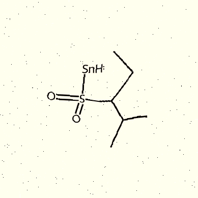 CCC(C(C)C)[S](=O)(=O)[SnH]